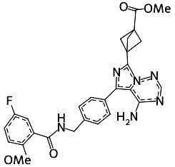 COC(=O)C12CC(c3nc(-c4ccc(CNC(=O)c5cc(F)ccc5OC)cc4)c4c(N)ncnn34)(C1)C2